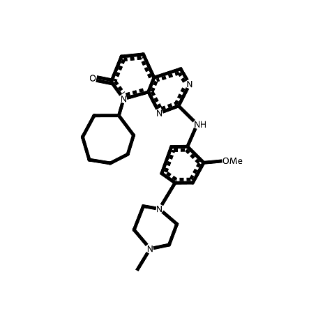 COc1cc(N2CCN(C)CC2)ccc1Nc1ncc2ccc(=O)n(C3CCCCCC3)c2n1